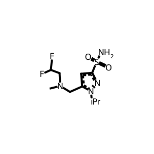 CC(C)n1nc(S(N)(=O)=O)cc1CN(C)CC(F)F